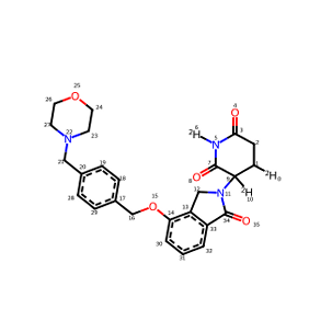 [2H]C1CC(=O)N([2H])C(=O)C1([2H])N1Cc2c(OCc3ccc(CN4CCOCC4)cc3)cccc2C1=O